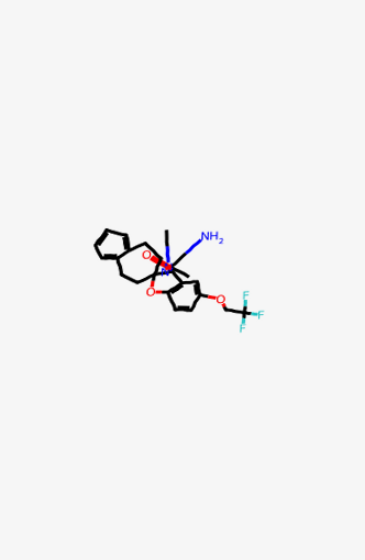 CN1C(=O)C2(N=C1N)c1cc(OCC(F)(F)F)ccc1OC21CCc2ccccc2CC1